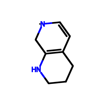 C1=CC2=C(C[N]1)NCCC2